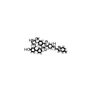 O=C1CN(Cc2cc(O)ccc2-c2cccc(-n3c(=O)n(C4CCC(NCc5cn6cc(F)ccc6n5)CC4)c(=O)c4cc(F)cnc43)c2)CCN1